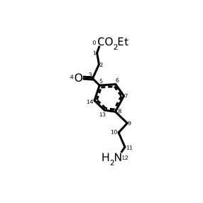 CCOC(=O)CCC(=O)c1ccc(CCCN)cc1